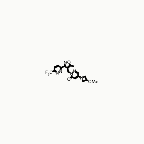 COC1CN(c2cnn(Cc3c(-c4ccc(C(F)(F)F)nn4)noc3C)c(=O)c2)C1